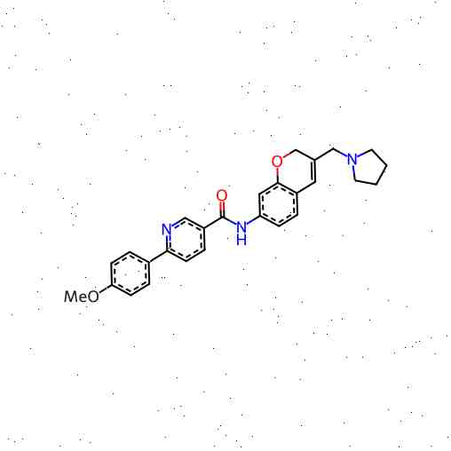 COc1ccc(-c2ccc(C(=O)Nc3ccc4c(c3)OCC(CN3CCCC3)=C4)cn2)cc1